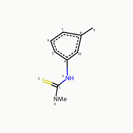 CNC(=S)Nc1cccc(C)c1